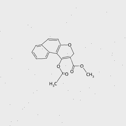 COC(=O)C1=C(OC(C)=O)c2c(ccc3ccccc23)OC1